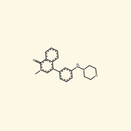 Cn1cc(-c2cccc([SiH2]N3CCOCC3)c2)c2ccccc2c1=O